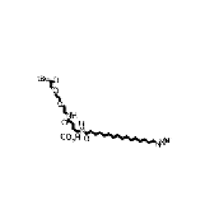 CC(C)(C)C(=O)COCCOCCNC(=O)CC[C@@H](NC(=O)CCCCCCCCCCCCCCCN=[N+]=[N-])C(=O)O